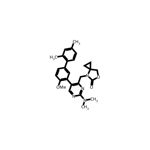 COc1ccc(-c2ccc(C)cc2C)cc1-c1cnc(N(C)C)nc1CN1C(=O)OCC12CC2